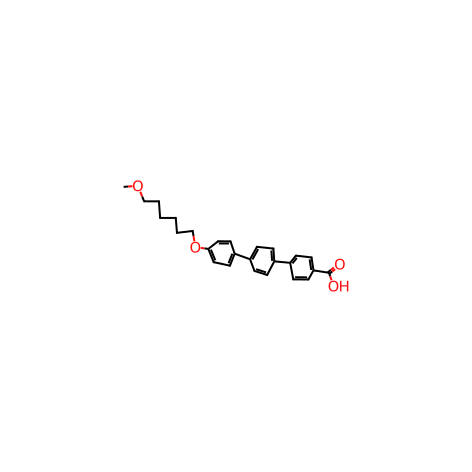 COCCCCCCOc1ccc(-c2ccc(-c3ccc(C(=O)O)cc3)cc2)cc1